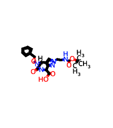 CC(C)(C)OC(=O)NCCn1cc2c(n1)C(C(=O)O)N1C[C@H]2N(OCc2ccccc2)C1=O